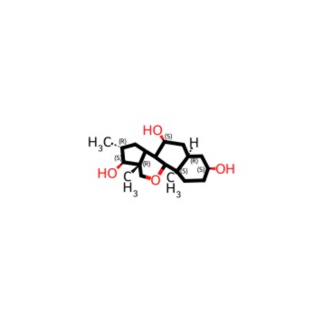 C[C@@H]1CC2C3C(OC[C@]2(C)[C@H]1O)[C@@]1(C)CC[C@H](O)C[C@@H]1C[C@@H]3O